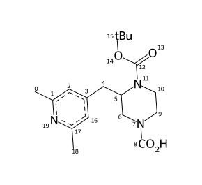 Cc1cc(CC2CN(C(=O)O)CCN2C(=O)OC(C)(C)C)cc(C)n1